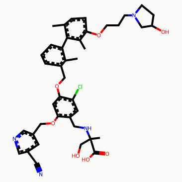 Cc1ccc(OCCCN2CCC(O)C2)c(C)c1-c1cccc(COc2cc(OCc3cncc(C#N)c3)c(CNC(C)(CO)C(=O)O)cc2Cl)c1C